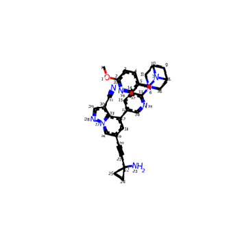 COc1ccc(CN2C3CC2CN(c2ccc(-c4cc(C#CC5(N)CC5)cn5ncc(C#N)c45)cn2)C3)cn1